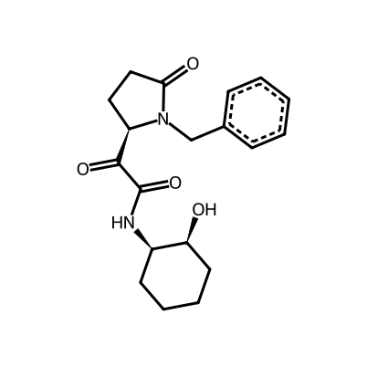 O=C(N[C@@H]1CCCC[C@@H]1O)C(=O)[C@H]1CCC(=O)N1Cc1ccccc1